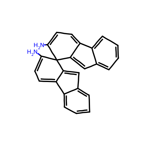 NC1=CC=C2C(=Cc3ccccc32)C12C(N)=CC=C1C2=Cc2ccccc21